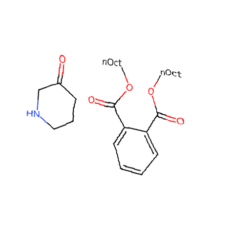 CCCCCCCCOC(=O)c1ccccc1C(=O)OCCCCCCCC.O=C1CCCNC1